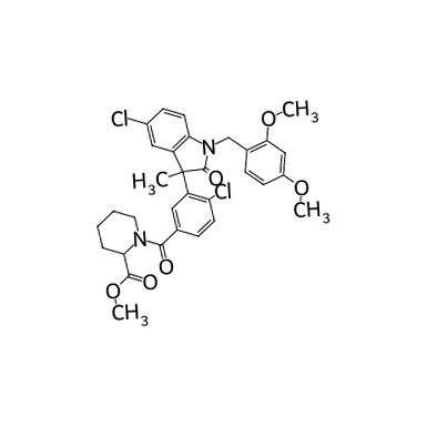 COC(=O)C1CCCCN1C(=O)c1ccc(Cl)c(C2(C)C(=O)N(Cc3ccc(OC)cc3OC)c3ccc(Cl)cc32)c1